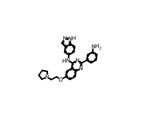 Nc1cccc(-c2nc(Nc3ccc4[nH]ncc4c3)c3cc(OCCN4CCCC4)ccc3n2)c1